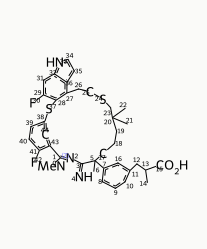 CN/C1=N\C(=N)C(C)(c2cccc(CC(C)C(=O)O)c2)CCCC(C)(C)CSCCc2c(c(F)cc3[nH]ccc23)Sc2ccc(F)c1c2